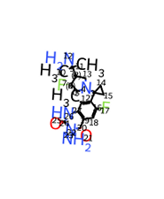 Cc1c(C2(N3C[C@H](F)[C@@H](C(C)(C)N)C3)CC2)c(F)cc2c(=O)n(N)c(=O)[nH]c12